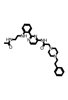 CC(=O)NCCNc1ccccc1-c1nccc(NC(=O)CN2CCN(CCc3ccccc3)CC2)n1